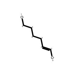 [O]C=CCCCC[O]